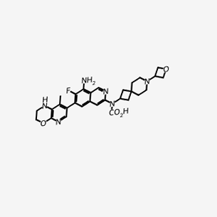 Cc1c(-c2cc3cc(N(C(=O)O)C4CC5(CCN(C6COC6)CC5)C4)ncc3c(N)c2F)cnc2c1NCCO2